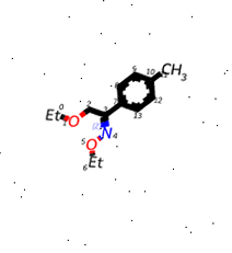 CCOC/C(=N\OCC)c1ccc(C)cc1